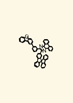 c1cc(-c2ccc3oc4ccccc4c3c2)cc(-c2nc3c4ccccc4c4ccccc4c3nc2-c2ccc3c(c2)C2(c4ccccc4-c4ccccc42)c2ccccc2-3)c1